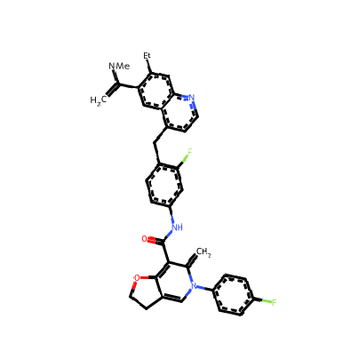 C=C(NC)c1cc2c(Cc3ccc(NC(=O)C4=C5OCCC5=CN(c5ccc(F)cc5)C4=C)cc3F)ccnc2cc1CC